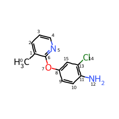 Cc1cccnc1Oc1ccc(N)c(Cl)c1